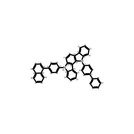 c1ccc(-c2ccc(-n3c4ccccc4c4ccc5c(c6ccccc6n5-c5ccc(-c6cccc7ccccc67)cc5)c43)cc2)cc1